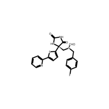 O=CN(Cc1ccc(F)cc1)C[C@@]1(c2ccc(-c3ccccn3)s2)NC(=O)NC1=O